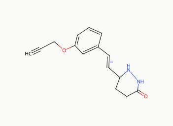 C#CCOc1cccc(/C=C/C2CCC(=O)NN2)c1